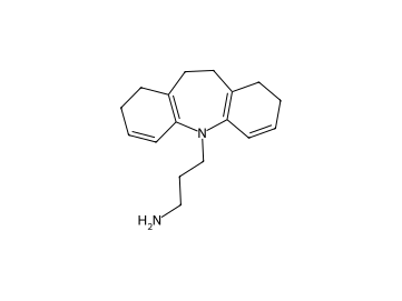 NCCCN1C2=C(CCC=C2)CCC2=C1C=CCC2